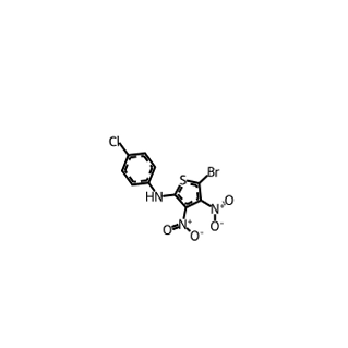 O=[N+]([O-])c1c(Br)sc(Nc2ccc(Cl)cc2)c1[N+](=O)[O-]